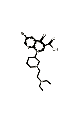 CCN(CC)CCN1CCCC(n2cc(C(=O)O)c(=O)c3cc(Br)cnc32)C1